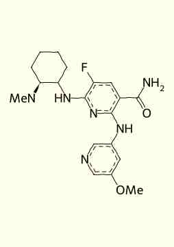 CN[C@H]1CCCCC1Nc1nc(Nc2cncc(OC)c2)c(C(N)=O)cc1F